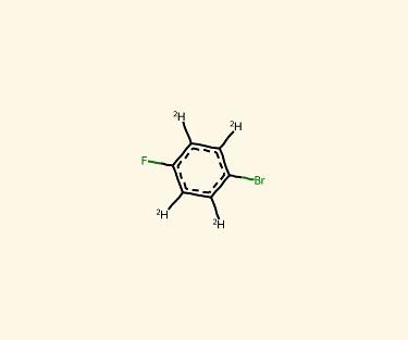 [2H]c1c([2H])c(Br)c([2H])c([2H])c1F